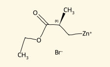 CCOC(=O)[C@@H](C)[CH2][Zn+].[Br-]